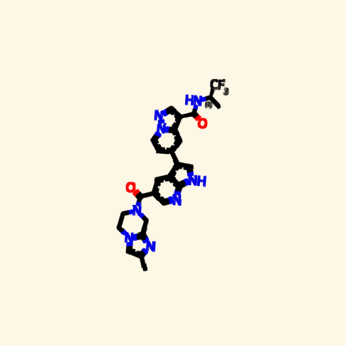 Cc1cn2c(n1)CN(C(=O)c1cnc3[nH]cc(-c4ccn5ncc(C(=O)N[C@H](C)C(F)(F)F)c5c4)c3c1)CC2